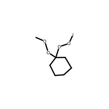 COOC1(OOI)CCCCC1